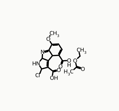 CCOC(C)=O.COC1=CC=C(C(=O)O)C2C1=NC1NC(Cl)C(C(=O)O)=C12